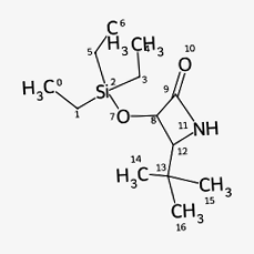 CC[Si](CC)(CC)OC1C(=O)NC1C(C)(C)C